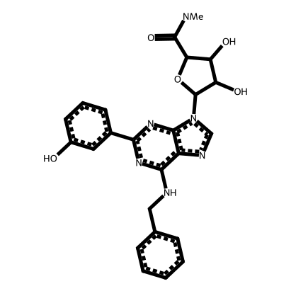 CNC(=O)C1OC(n2cnc3c(NCc4ccccc4)nc(-c4cccc(O)c4)nc32)C(O)C1O